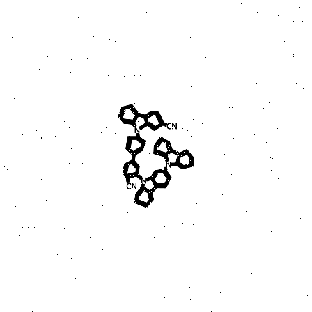 N#Cc1ccc2c3ccccc3n(-c3ccc(-c4ccc(C#N)c(-n5c6ccccc6c6ccc(-n7c8ccccc8c8ccccc87)cc65)c4)cc3)c2c1